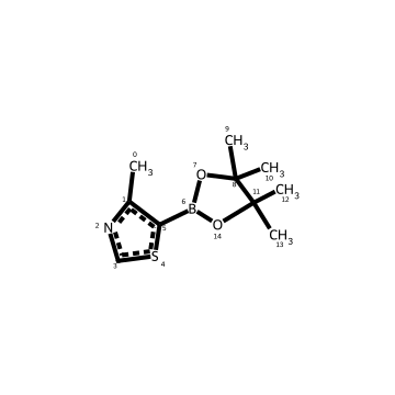 Cc1ncsc1B1OC(C)(C)C(C)(C)O1